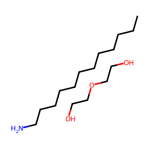 CCCCCCCCCCCCN.OCCOCCO